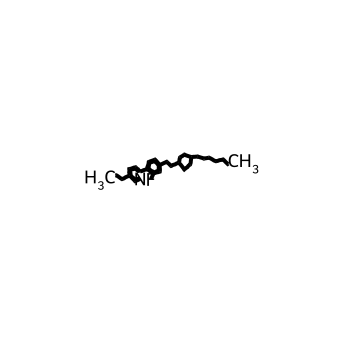 CCCCCCCC1CCC(CCc2ccc(-c3ccc(CCC)cn3)c(F)c2)CC1